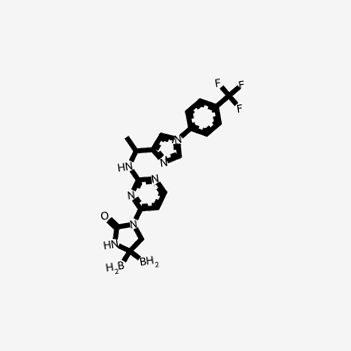 BC1(B)CN(c2ccnc(NC(C)c3cn(-c4ccc(C(F)(F)F)cc4)cn3)n2)C(=O)N1